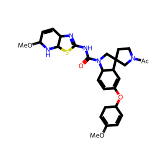 COC1=CCC(OC2=CC3C(C=C2)N(C(=O)NC2=NC4C=CC(OC)NC4S2)CC32CCN(C(C)=O)C2)C=C1